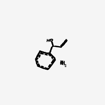 C=CC(O)c1ccccc1.N